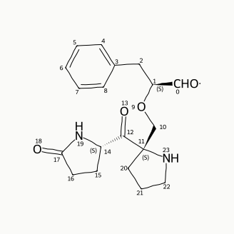 O=[C][C@H](Cc1ccccc1)OC[C@]1(C(=O)[C@@H]2CCC(=O)N2)CCCN1